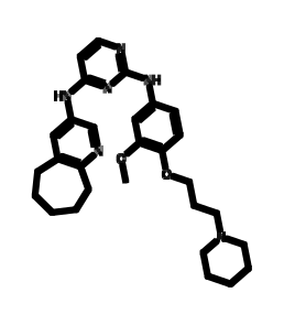 COc1cc(Nc2nccc(Nc3cnc4c(c3)CCCCC4)n2)ccc1OCCCN1CCCCC1